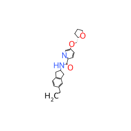 C=Cc1ccc2c(c1)C[C@H](NC(=O)c1ccc(OC[C@@H]3CCCO3)cn1)C2